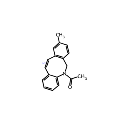 CC(=O)N1Cc2ccc(C)cc2/C=C\c2ccccc21